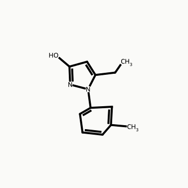 CCc1cc(O)nn1-c1cccc(C)c1